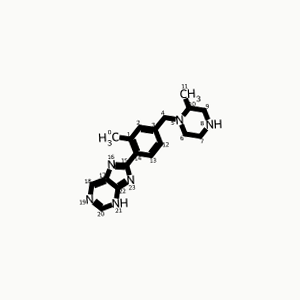 Cc1cc(CN2CCNCC2C)ccc1-c1nc2cnc[nH]c-2n1